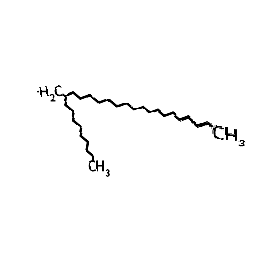 [CH2]C(CCCCCCCCC)CCCCCCCCCCCCCCCCCC